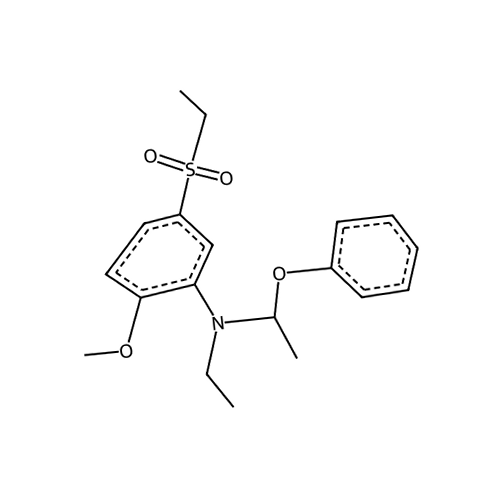 CCN(c1cc(S(=O)(=O)CC)ccc1OC)C(C)Oc1ccccc1